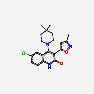 Cc1cc(-c2c(N3CCC(C)(C)CC3)c3cc(Cl)ccc3[nH]c2=O)on1